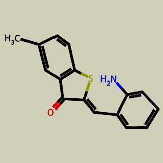 Cc1ccc2c(c1)C(=O)C(=Cc1ccccc1N)S2